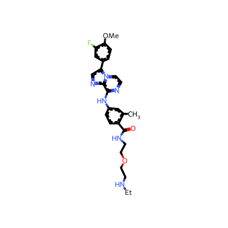 CCNCCOCCNC(=O)c1ccc(Nc2nccn3c(-c4ccc(OC)c(F)c4)cnc23)cc1C